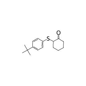 CC(C)(C)c1ccc(SC2CCCCC2=O)cc1